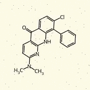 CN(C)c1ccc2c(=O)c3ccc(Cl)c(-c4ccccc4)c3[nH]c2n1